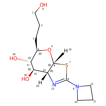 OCCC[C@H]1O[C@@H]2SC(N3CCC3)=N[C@@H]2[C@@H](O)[C@@H]1O